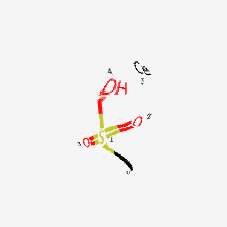 CS(=O)(=O)O.[Ce]